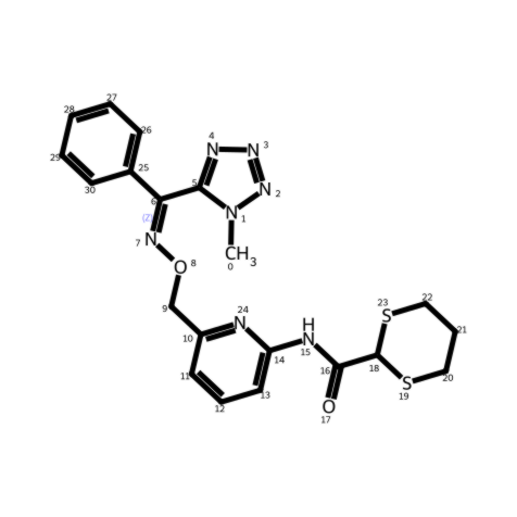 Cn1nnnc1/C(=N\OCc1cccc(NC(=O)C2SCCCS2)n1)c1ccccc1